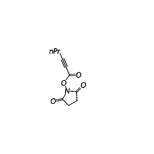 CCCC#CC(=O)ON1C(=O)CCC1=O